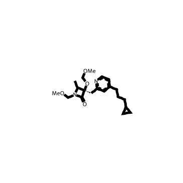 COCO[C@@]1(Cc2cc(CCCC3CC3)ccn2)C(=O)N(COC)C1C